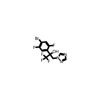 OC(Cn1cncn1)(c1cc(F)c(Br)cc1F)C(F)(F)F